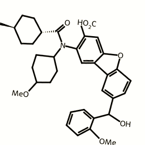 COc1ccccc1C(O)c1ccc2oc3cc(C(=O)O)c(N(C(=O)[C@H]4CC[C@H](C)CC4)C4CCC(OC)CC4)cc3c2c1